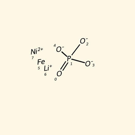 O=P([O-])([O-])[O-].[Fe].[Li+].[Ni+2]